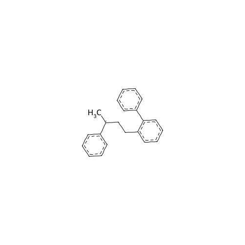 C[C](CCc1ccccc1-c1ccccc1)c1ccccc1